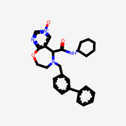 O=C(NC1CCCCC1)C1c2c[n+]([O-])cnc2OCCN1Cc1cccc(-c2ccccc2)c1